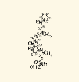 CC(CCC(=O)NC=O)Nc1ccc(F)c(C(=O)N2CCN(CCN(C)CCC(=O)N3CCCCC3)CC2)c1